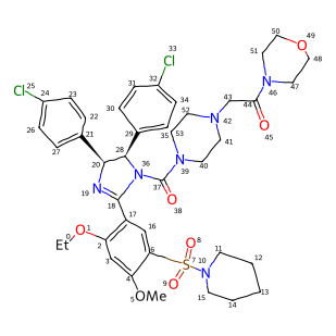 CCOc1cc(OC)c(S(=O)(=O)N2CCCCC2)cc1C1=N[C@@H](c2ccc(Cl)cc2)[C@@H](c2ccc(Cl)cc2)N1C(=O)N1CCN(CC(=O)N2CCOCC2)CC1